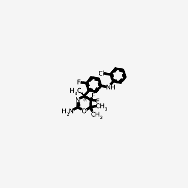 CC1(C)OC(N)=N[C@](C)(c2cc(Nc3ccccc3Cl)ccc2F)C1(F)F